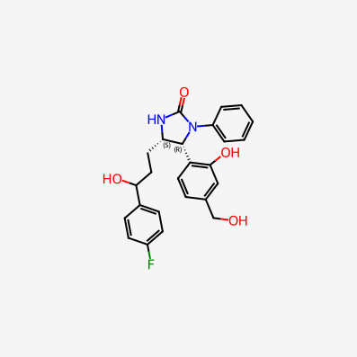 O=C1N[C@@H](CCC(O)c2ccc(F)cc2)[C@@H](c2ccc(CO)cc2O)N1c1ccccc1